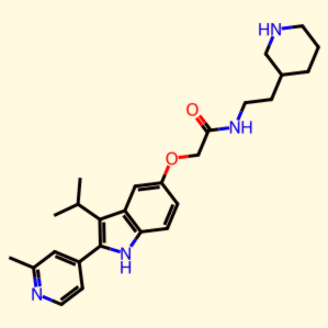 Cc1cc(-c2[nH]c3ccc(OCC(=O)NCCC4CCCNC4)cc3c2C(C)C)ccn1